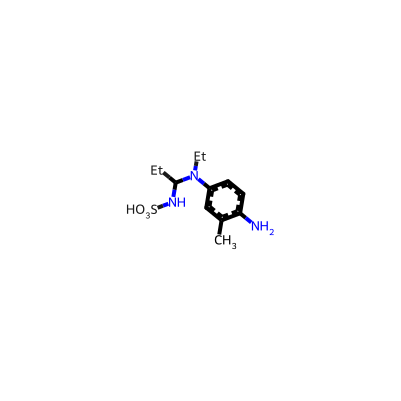 CCC(NS(=O)(=O)O)N(CC)c1ccc(N)c(C)c1